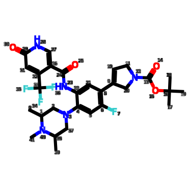 CC1CN(c2cc(F)c(C3=CCN(C(=O)OC(C)(C)C)C3)cc2NC(=O)c2c[nH]c(=O)cc2C(F)(F)F)CC(C)N1C